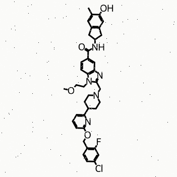 COCCn1c(CN2CCC(c3cccc(OCc4ccc(Cl)cc4F)n3)CC2)nc2cc(C(=O)NC3Cc4cc(C)c(O)cc4C3)ccc21